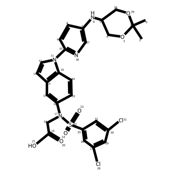 CC1(C)OCC(Nc2ccc(-n3ccc4cc(N(CC(=O)O)S(=O)(=O)c5cc(Cl)cc(Cl)c5)ccc43)nc2)CO1